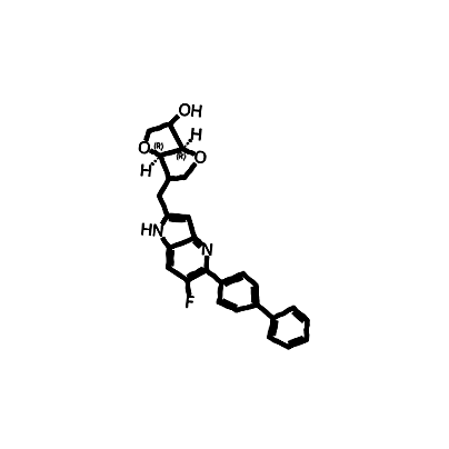 OC1CO[C@@H]2C(Cc3cc4nc(-c5ccc(-c6ccccc6)cc5)c(F)cc4[nH]3)CO[C@H]12